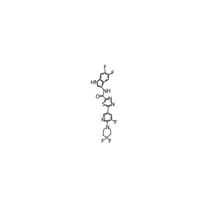 O=C(Nc1c[nH]c2cc(F)c(F)cc12)c1nnc(-c2cnc(N3CCC(F)(F)CC3)c(F)c2)s1